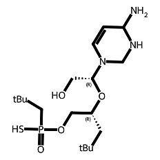 CC(C)(C)C[C@H](COP(=O)(S)CC(C)(C)C)O[C@H](CO)N1C=CC(N)NC1